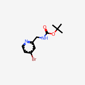 CC(C)(C)OC(=O)NCc1cc(Br)ccn1